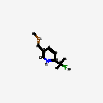 CSCc1ccc(C(C)(C)F)nc1